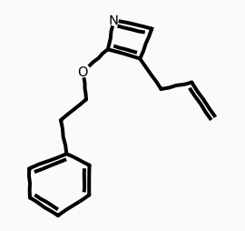 C=CCC1=C(OCCc2ccccc2)N=C1